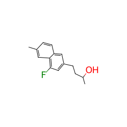 Cc1ccc2cc(CCC(C)O)cc(F)c2c1